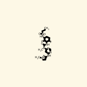 CCCS(=O)(=O)Nc1ccc(F)c(NC(=O)N(C)c2cc(Nc3ccn(C)n3)ncn2)c1F